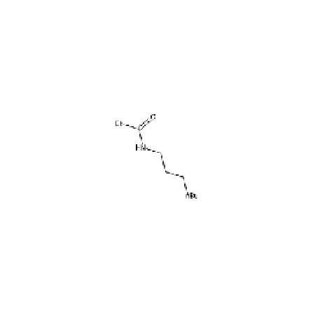 C[CH]C(=O)NCCCCCCC